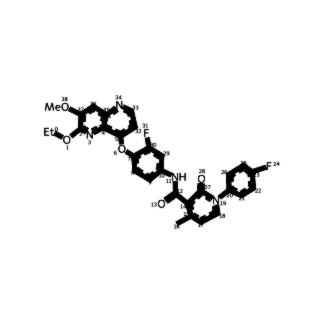 CCOc1nc2c(Oc3ccc(NC(=O)c4c(C)ccn(-c5ccc(F)cc5)c4=O)cc3F)ccnc2cc1OC